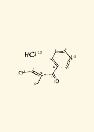 CC(=CCl)C(=O)c1cccnc1.Cl